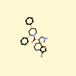 O=C([C@@H]1CNC[C@]12CCCc1c(Br)csc12)N1CC[C@@H](c2ccccc2)C[C@H]1c1ccccc1